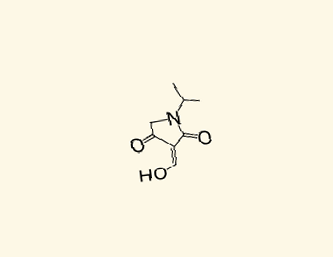 CC(C)N1CC(=O)/C(=C\O)C1=O